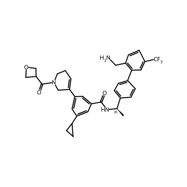 C[C@@H](NC(=O)c1cc(C2=CCCN(C(=O)C3COC3)C2)cc(C2CC2)c1)c1ccc(-c2cc(C(F)(F)F)ccc2CN)cc1